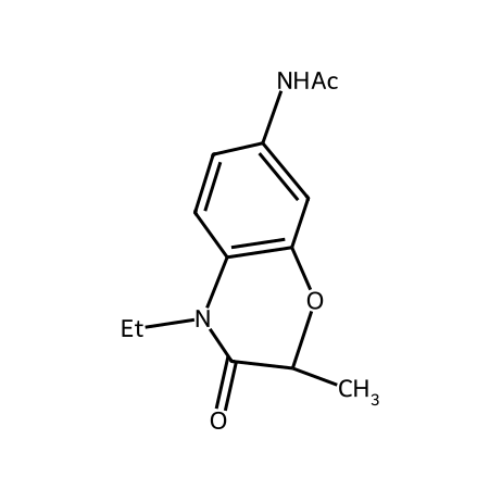 CCN1C(=O)C(C)Oc2cc(NC(C)=O)ccc21